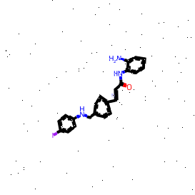 Nc1ccccc1NC(=O)/C=C/c1ccc(CNc2ccc(I)cc2)cc1